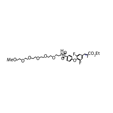 CCOC(=O)/C(C)=C/c1cc(F)c(Oc2ccc(S(=O)(=O)NCCOCCOCCOCCOCCOCCOC)cc2)c(F)c1